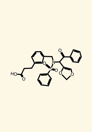 O=C(O)CCc1cccc(CN(C(C(=O)c2ccccc2)C2=COCO2)S(=O)(=O)c2ccccc2)c1